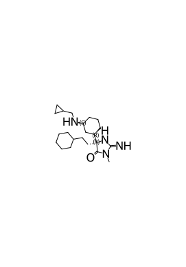 CN1C(=N)N[C@](CCC2CCCCC2)([C@@H]2CCC[C@H](NCC3CC3)C2)C1=O